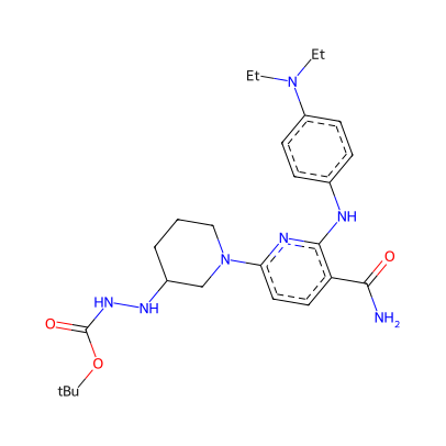 CCN(CC)c1ccc(Nc2nc(N3CCCC(NNC(=O)OC(C)(C)C)C3)ccc2C(N)=O)cc1